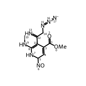 COC(=O)C1=CC(N=O)NC(NI)=C1C(=N)CN=[N+]=[N-]